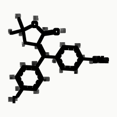 CSc1ccc(C(=C2CC(C)(C)OC2=O)c2ccc(F)cc2)cc1